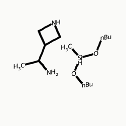 CC(N)C1CNC1.CCCCO[SiH](C)OCCCC